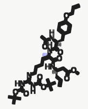 C=CCOc1ccc(C[C@H](NC(C)=O)C(=O)N/C(=C/CCCN=C(NC(=O)OC(C)(C)C)NC(=O)OC(C)(C)C)C(=O)N[C@@H](CC=C)CC(=O)OC)cc1